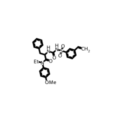 C=Cc1cccc(S(=O)(=O)NC(=O)NC(Cc2ccccc2)C(=O)N(CC)c2ccc(OC)cc2)c1